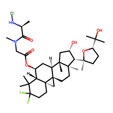 C[C@H](NCl)C(=O)N(C)CC(=O)O[C@H]1C[C@@H]2[C@]3(CC[C@]4(C)[C@@H]([C@]5(C)CC[C@@H](C(C)(C)O)O5)[C@@H](O)C[C@@]24C)C[C@@]32CCC(F)(F)C(C)(C)[C@H]12